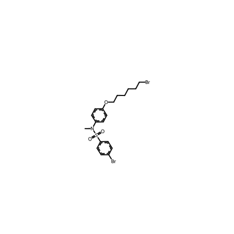 CN(c1ccc(OCCCCCCBr)cc1)S(=O)(=O)c1ccc(Br)cc1